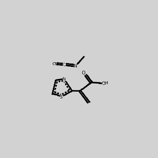 C=C(C(=O)O)c1nccs1.CN=C=O